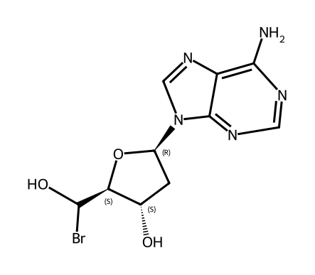 Nc1ncnc2c1ncn2[C@H]1C[C@H](O)[C@@H](C(O)Br)O1